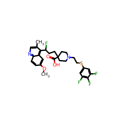 COc1ccc2ncc(C)c(C(F)CCC3(C(=O)O)CCN(CCSc4cc(F)c(F)c(F)c4)CC3)c2c1